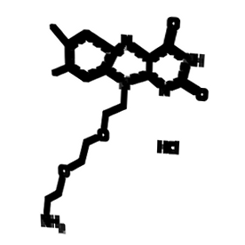 Cc1cc2nc3c(=O)[nH]c(=O)nc-3n(CCOCCOCCN)c2cc1C.Cl